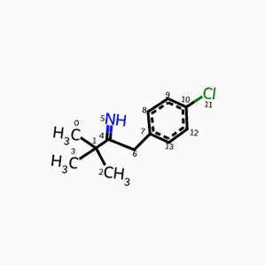 CC(C)(C)C(=N)Cc1ccc(Cl)cc1